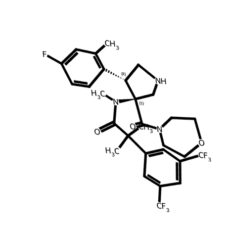 Cc1cc(F)ccc1[C@@H]1CNC[C@@]1(C(=O)N1CCOCC1)N(C)C(=O)C(C)(C)c1cc(C(F)(F)F)cc(C(F)(F)F)c1